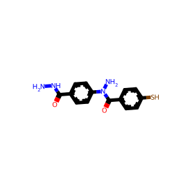 NNC(=O)c1ccc(N(N)C(=O)c2ccc(S)cc2)cc1